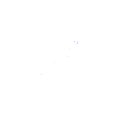 C1CNC1.N=C1C2C(=O)N12